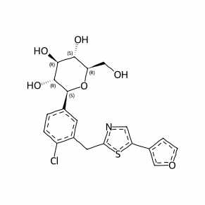 OC[C@H]1O[C@@H](c2ccc(Cl)c(Cc3ncc(-c4ccoc4)s3)c2)[C@H](O)[C@@H](O)[C@@H]1O